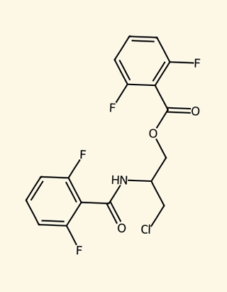 O=C(NC(CCl)COC(=O)c1c(F)cccc1F)c1c(F)cccc1F